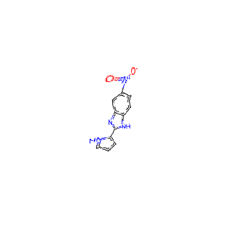 O=[N+]([O-])c1ccc2[nH]c(-c3ccc[nH]3)nc2c1